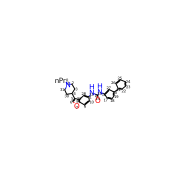 CCCN1CCC(c2coc3ccc(NC(=O)Nc4cccc(-c5ccccc5)c4)cc23)CC1